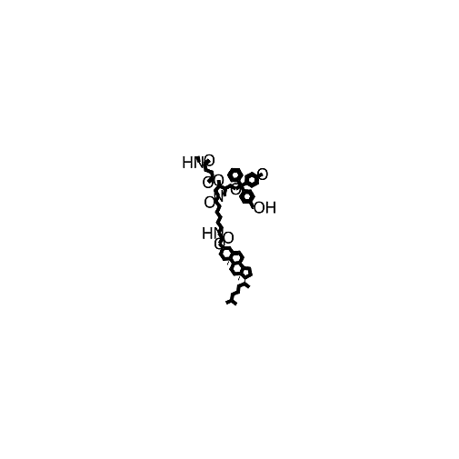 CNC(=O)CCC(=O)OC1CN(C(=O)CCCCCNC(=O)OC2CC[C@@]3(C)C(=CCC4C3CC[C@@]3(C)C4CC[C@@H]3C(C)CCCC(C)C)C2)CC1COC(c1ccccc1)(c1ccc(CO)cc1)c1ccc(OC)cc1